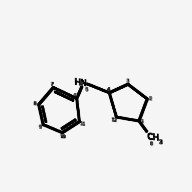 CC1CCC(Nc2ccccc2)C1